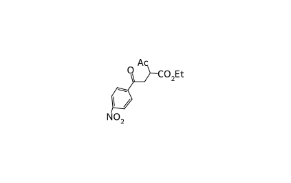 CCOC(=O)C(CC(=O)c1ccc([N+](=O)[O-])cc1)C(C)=O